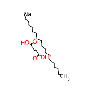 CCCCCCCCCCCCCCCCC[CH2][Na].O=C(O)C=CC(=O)O